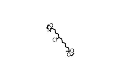 CC1(CCCCCC(Cl)CCCc2ncco2)OCCO1